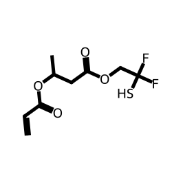 C=CC(=O)OC(C)CC(=O)OCC(F)(F)S